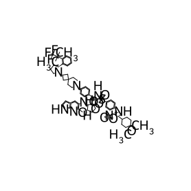 COC1(C)CCC(CNc2ccc(S(=O)(=O)NC(=O)c3ccc(N4CCC5(CC4)CC(N4CCC[C@H]4c4ccccc4C(C)(C)C(F)(F)F)C5)cc3N3c4cc5cc[nH]c5nc4O[C@H]4COC[C@@H]43)cc2[N+](=O)[O-])CC1